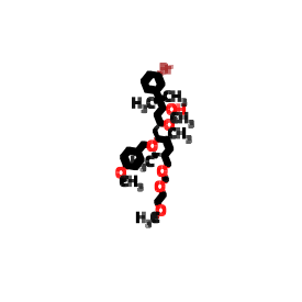 CC[C@H](/C=C(/C)[C@H](C[C@H](C[C@H](O)C(C)(C)c1cccc(Br)c1)OC)OCc1ccc(OC)cc1)COCOCCOC